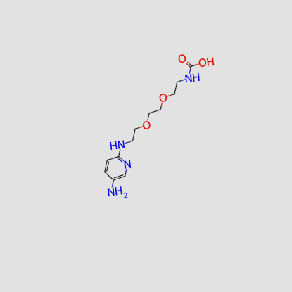 Nc1ccc(NCCOCCOCCNC(=O)O)nc1